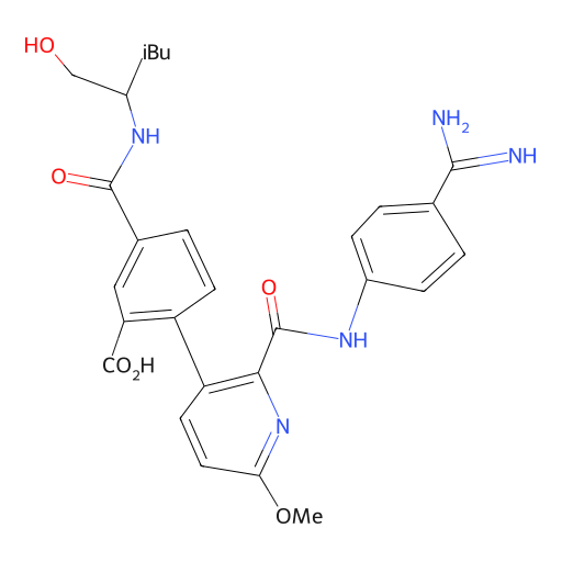 CCC(C)C(CO)NC(=O)c1ccc(-c2ccc(OC)nc2C(=O)Nc2ccc(C(=N)N)cc2)c(C(=O)O)c1